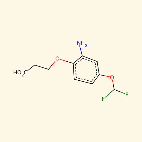 Nc1cc(OC(F)F)ccc1OCCC(=O)O